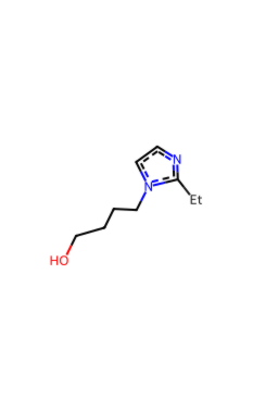 CCc1nccn1CCCCO